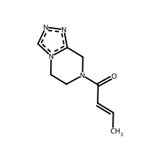 CC=CC(=O)N1CCn2cnnc2C1